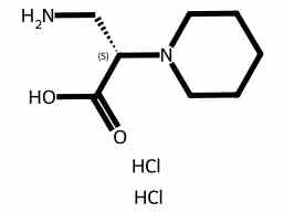 Cl.Cl.NC[C@@H](C(=O)O)N1CCCCC1